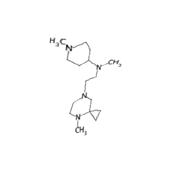 CN1CCC(N(C)CCN2CCN(C)C3(CC3)C2)CC1